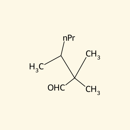 CCCC(C)C(C)(C)C=O